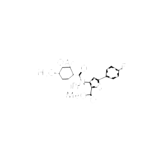 COC(=O)c1sc(-c2ccc(F)cc2)cc1N(C(=O)[C@@H]1CC[C@@H](C)C[C@@H]1OC(C)=O)C(C)C